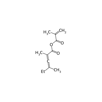 C=C(C)C(=O)OC(=O)C(C)=C=C(C)CC